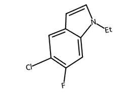 CCn1ccc2cc(Cl)c(F)cc21